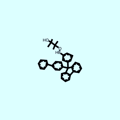 CC(C)(O)C(C)(C)OBc1cccc(C2(c3ccc(-c4ccccc4)cc3)c3ccccc3-c3ccccc32)c1